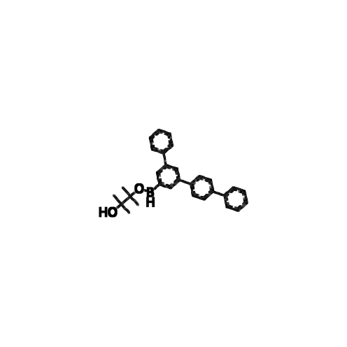 CC(C)(O)C(C)(C)OBc1cc(-c2ccccc2)cc(-c2ccc(-c3ccccc3)cc2)c1